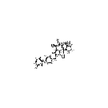 Cc1cccc(-c2ccc(Cn3cc4c(c3Cl)N3C(=N[C@@H]5CCC[C@@H]53)N(C)C4=O)cc2)n1